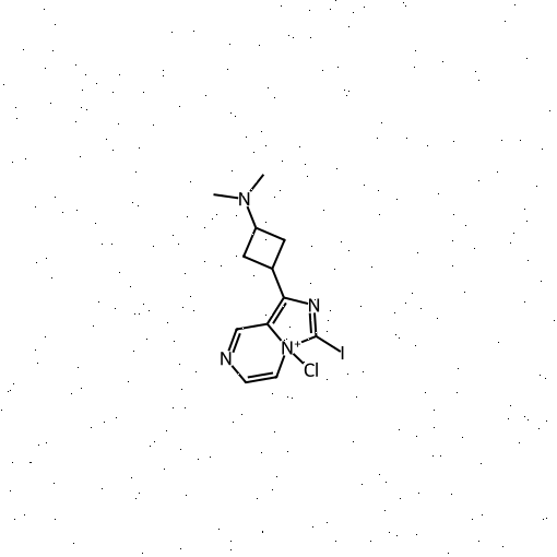 CN(C)C1CC(C2=C3C=NC=C[N+]3(Cl)C(I)=N2)C1